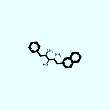 N[C@H](Cc1ccccc1)[C@H](O)[C@H](N)Cc1ccc2ccccc2c1